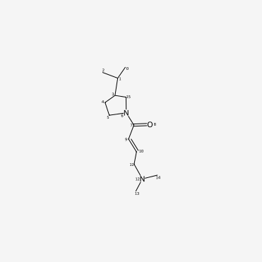 CC(C)C1CCN(C(=O)/C=C/CN(C)C)C1